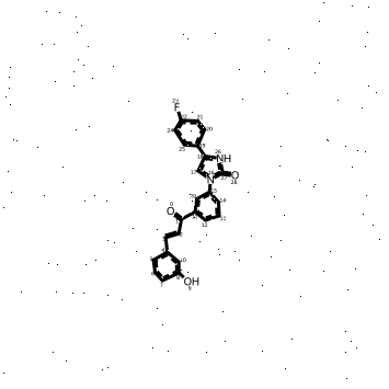 O=C(C=Cc1cccc(O)c1)c1cccc(-n2cc(-c3ccc(F)cc3)[nH]c2=O)c1